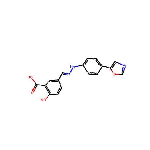 O=C(O)c1cc(C=NNc2ccc(-c3cnco3)cc2)ccc1O